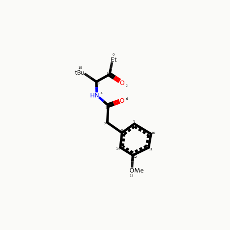 CCC(=O)C(NC(=O)Cc1cccc(OC)c1)C(C)(C)C